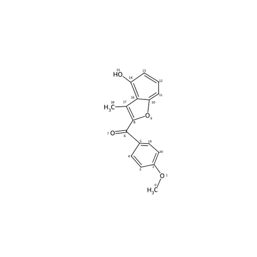 COc1ccc(C(=O)c2oc3cccc(O)c3c2C)cc1